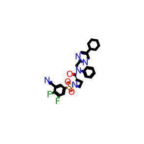 N#Cc1cc(S(=O)(=O)N2CC[C@@H]2C(=O)N(Cc2ncc(C3CCCCC3)cn2)c2ccccc2)cc(F)c1F